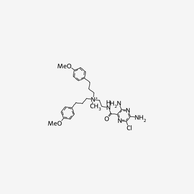 COc1ccc(CCC[N+](C)(CCCc2ccc(OC)cc2)CCNC(=O)c2nc(Cl)c(N)nc2N)cc1